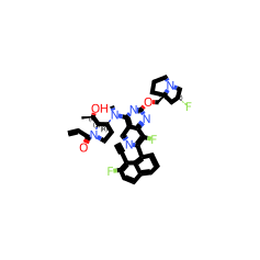 C#Cc1c(F)ccc2cccc(-c3ncc4c(N(C)[C@@H]5CCN(C(=O)C=C)[C@@H]5[C@@H](C)O)nc(OC[C@@]56CCCN5C[C@H](F)C6)nc4c3F)c12